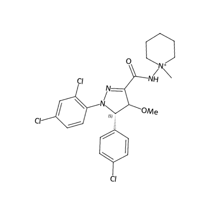 COC1C(C(=O)N[N+]2(C)CCCCC2)=NN(c2ccc(Cl)cc2Cl)[C@H]1c1ccc(Cl)cc1